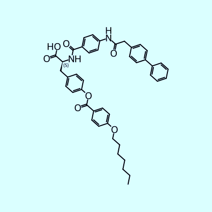 CCCCCCCOc1ccc(C(=O)Oc2ccc(C[C@H](NC(=O)c3ccc(NC(=O)Cc4ccc(-c5ccccc5)cc4)cc3)C(=O)O)cc2)cc1